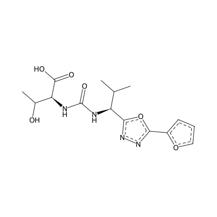 CC(O)[C@H](NC(=O)N[C@H](c1nnc(-c2ccco2)o1)C(C)C)C(=O)O